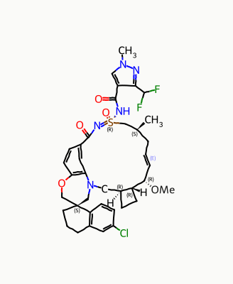 CO[C@H]1/C=C/C[C@H](C)C[S@@](=O)(NC(=O)c2cn(C)nc2C(F)F)=NC(=O)c2ccc3c(c2)N(C[C@@H]2CC[C@H]21)C[C@@]1(CCCc2cc(Cl)ccc21)CO3